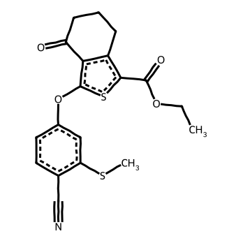 CCOC(=O)c1sc(Oc2ccc(C#N)c(SC)c2)c2c1CCCC2=O